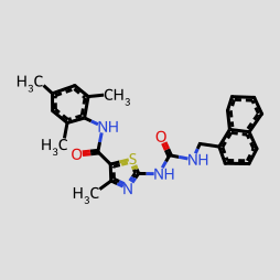 Cc1cc(C)c(NC(=O)c2sc(NC(=O)NCc3cccc4ccccc34)nc2C)c(C)c1